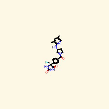 Cc1cnc(N[C@H]2CCN(C(=O)c3ccc([C@]4(CF)NC(=O)NC4=O)cc3)C2)c(C)c1